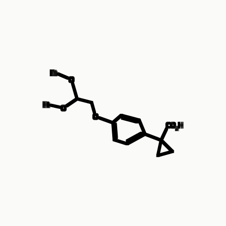 CCOC(COc1ccc(C2(C(=O)O)CC2)cc1)OCC